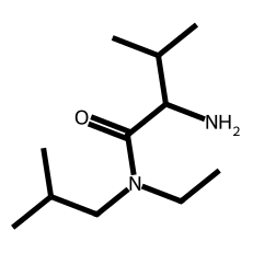 CCN(CC(C)C)C(=O)C(N)C(C)C